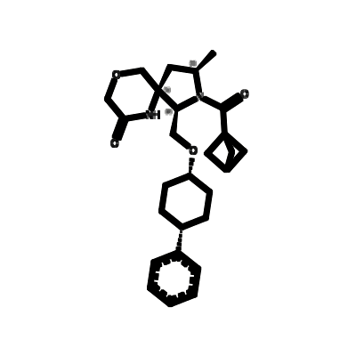 C[C@@H]1C[C@@]2(COCC(=O)N2)[C@H](CO[C@H]2CC[C@@H](c3ccccc3)CC2)N1C(=O)C12CC(C1)C2